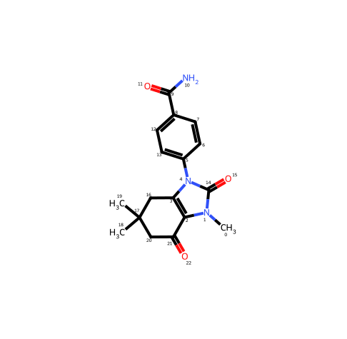 Cn1c2c(n(-c3ccc(C(N)=O)cc3)c1=O)CC(C)(C)CC2=O